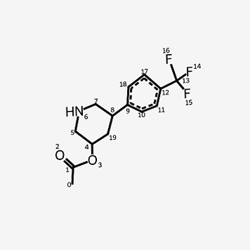 CC(=O)OC1CNCC(c2ccc(C(F)(F)F)cc2)C1